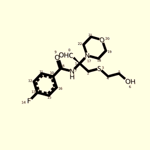 O=C[C@@](CSCCO)(NC(=O)c1ccc(F)cc1)N1CCOCC1